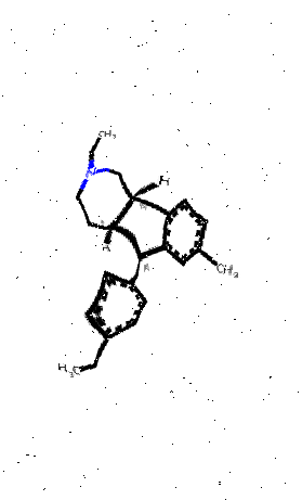 CCc1ccc([C@@H]2c3cc(C)ccc3[C@H]3CN(CC)CC[C@@H]23)cc1